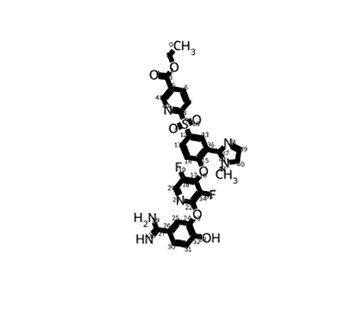 CCOC(=O)c1ccc(S(=O)(=O)c2ccc(Oc3c(F)cnc(Oc4cc(C(=N)N)ccc4O)c3F)c(C3N=CCN3C)c2)nc1